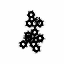 CC1(C)c2ccccc2-c2cccc(N(c3ccccc3)c3ccc4c(c3)-c3ccccc3C43c4ccccc4-c4c3c(N(c3ccccc3)c3ccccc3)cc3ccccc43)c21